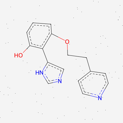 Oc1cccc(OCCc2ccncc2)c1-c1cnc[nH]1